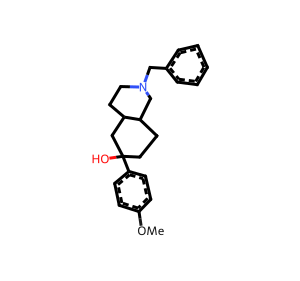 COc1ccc(C2(O)CCC3CN(Cc4ccccc4)CCC3C2)cc1